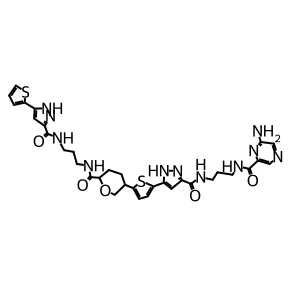 Nc1cncc(C(=O)NCCCNC(=O)c2cc(-c3ccc(C4CCC(C(=O)NCCCNC(=O)c5cc(-c6cccs6)[nH]n5)OC4)s3)[nH]n2)n1